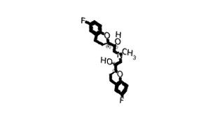 CN(C[C@@H](O)[C@@H]1CCc2cc(F)ccc2O1)C[C@@H](O)[C@H]1CCc2cc(F)ccc2O1